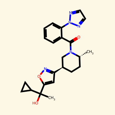 C[C@@H]1CC[C@@H](c2cc(C(C)(O)C3CC3)on2)CN1C(=O)c1ccccc1-n1nccn1